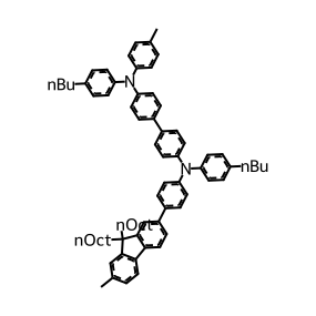 CCCCCCCCC1(CCCCCCCC)c2cc(C)ccc2-c2ccc(-c3ccc(N(c4ccc(CCCC)cc4)c4ccc(-c5ccc(N(c6ccc(C)cc6)c6ccc(CCCC)cc6)cc5)cc4)cc3)cc21